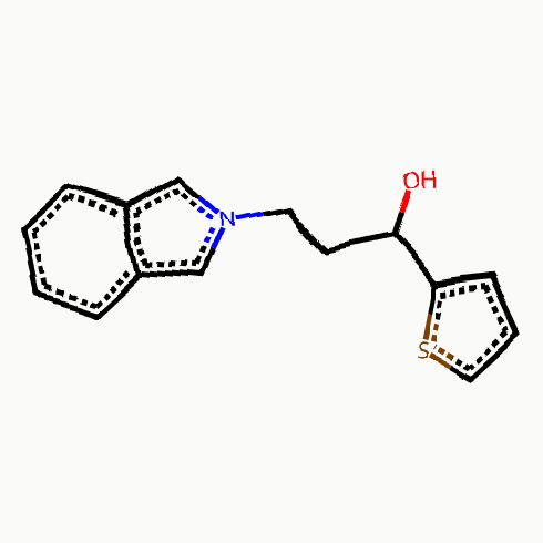 OC(CCn1cc2ccccc2c1)c1cccs1